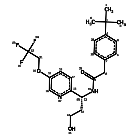 CC(C)(C)c1ccc(CC(=O)N[C@H](CCO)c2ccc(OCC(F)(F)F)cn2)cc1